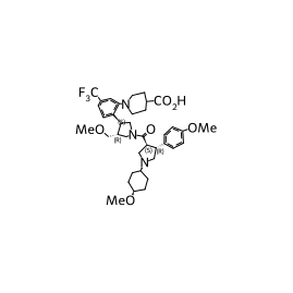 COC[C@H]1CN(C(=O)[C@@H]2CN([C@H]3CC[C@@H](OC)CC3)C[C@H]2c2ccc(OC)cc2)C[C@@H]1c1ccc(C(F)(F)F)cc1N1CCC(C(=O)O)CC1